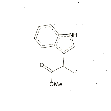 [CH2]C(C(=O)OC)c1c[nH]c2ccccc12